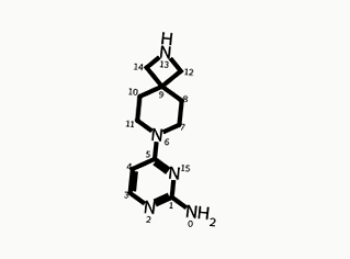 Nc1nccc(N2CCC3(CC2)CNC3)n1